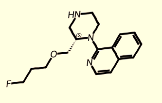 FCCCOC[C@@H]1CNCCN1c1nccc2ccccc12